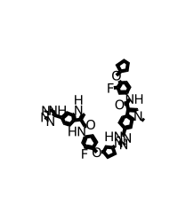 Cn1cc(C(=O)Nc2ccc(OC3CCCC3)c(F)c2)c2ccc(-c3nn[n+](C4CCC(Oc5ccc(NC(=O)c6c[nH]c7cc(-c8nnn[nH]8)ccc67)cc5F)C4)[nH]3)cc21